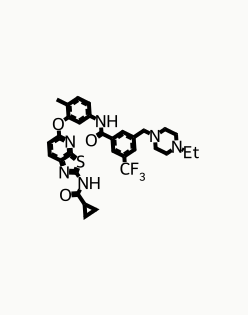 CCN1CCN(Cc2cc(C(=O)Nc3ccc(C)c(Oc4ccc5nc(NC(=O)C6CC6)sc5n4)c3)cc(C(F)(F)F)c2)CC1